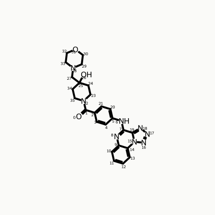 O=C(c1ccc(Nc2nc3ccccc3n3nnnc23)cc1)N1CCC(O)(CN2CCOCC2)CC1